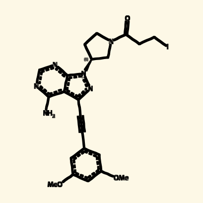 COc1cc(C#Cc2nn([C@H]3CCN(C(=O)CCI)C3)c3ncnc(N)c23)cc(OC)c1